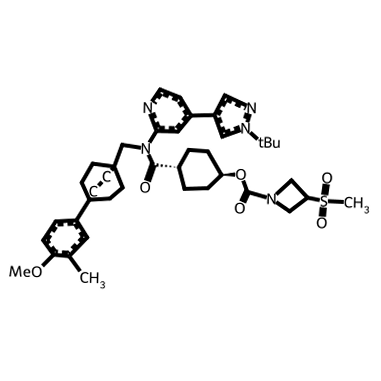 COc1ccc(C23CCC(CN(c4cc(-c5cnn(C(C)(C)C)c5)ccn4)C(=O)[C@H]4CC[C@H](OC(=O)N5CC(S(C)(=O)=O)C5)CC4)(CC2)CC3)cc1C